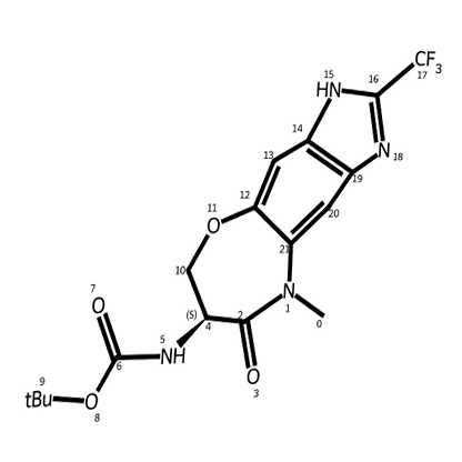 CN1C(=O)[C@@H](NC(=O)OC(C)(C)C)COc2cc3[nH]c(C(F)(F)F)nc3cc21